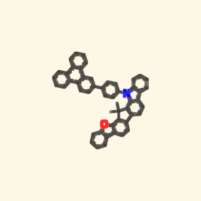 CC1(C)c2c(ccc3c2oc2ccccc23)-c2ccc3c4ccccc4n(-c4ccc(-c5ccc6c7ccccc7c7ccccc7c6c5)cc4)c3c21